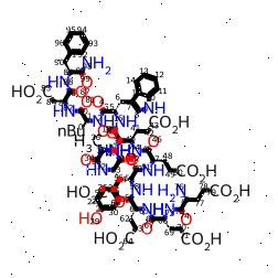 CCCC[C@H](NC(=O)[C@H](Cc1c[nH]c2ccccc12)NC(=O)CNC(=O)[C@H](Cc1ccc(O)cc1)NC(=O)[C@H](C)NC(=O)[C@@H](CCC(=O)O)NC(=O)[C@@H](CCC(=O)O)NC(=O)[C@@H](CCC(=O)O)NC(=O)[C@@H](CCC(=O)O)NC(=O)[C@@H](CCC(=O)O)NC(=O)[C@H](N)CCC(=O)O)C(=O)N[C@@H](CC(=O)O)C(=O)N[C@@H](Cc1ccccc1)C(N)=O